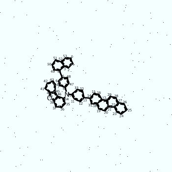 c1ccc2c(-c3ccc(N(c4ccc(-c5ccc6c(ccc7c8ccccc8ccc67)c5)cc4)c4cccc5oc6ccccc6c45)cc3)cccc2c1